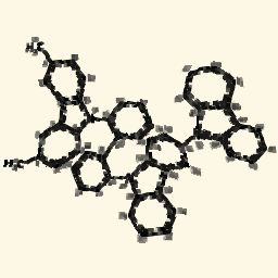 Cc1ccc2c(c1)c1cc(C)ccc1n2-c1ccccc1-c1ccccc1-n1c2ccccc2c2cc(-n3c4ccccc4c4ccccc43)ccc21